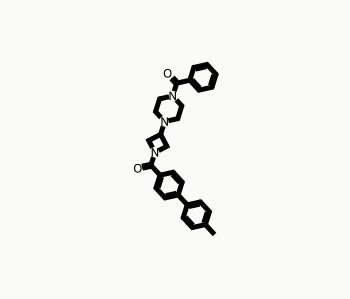 Cc1ccc(-c2ccc(C(=O)N3CC(N4CCN(C(=O)c5ccccc5)CC4)C3)cc2)cc1